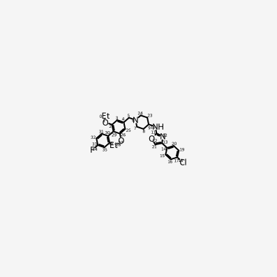 CCOc1cc(CN2CCC(Nc3nc(-c4ccc(Cl)cc4)co3)CC2)cc(OCC)c1-c1ccc(F)cc1